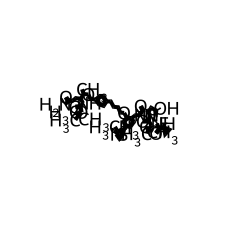 Cc1ncsc1-c1ccc(CNC(=O)[C@@H]2C[C@@H](O)CN2C(=O)C(NC(=O)C2(F)CC2)C(C)(C)C)c(OCCCCc2ccc(COC(C)C(CCC(N)=O)NC(=O)OC(C)(C)C)cc2)c1